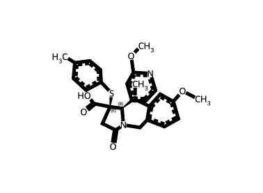 COc1ccc(CN2C(=O)C[C@](Sc3ccc(C)cc3)(C(=O)O)[C@H]2c2ccnc(OC)c2)c(OC)c1